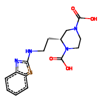 O=C(O)N1CCN(C(=O)O)[C@H](CCNc2nc3ccccc3s2)C1